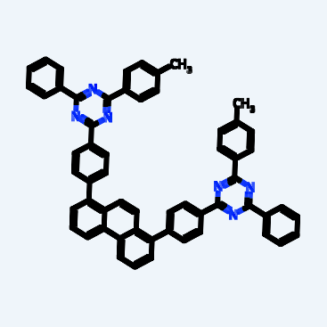 Cc1ccc(-c2nc(-c3ccccc3)nc(-c3ccc(-c4cccc5c4ccc4c(-c6ccc(-c7nc(-c8ccccc8)nc(-c8ccc(C)cc8)n7)cc6)cccc45)cc3)n2)cc1